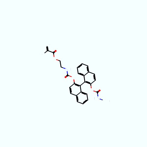 C=C(C)C(=O)OCCNC(=O)Oc1ccc2ccccc2c1-c1c(OC(=O)NCCCC)ccc2ccccc12